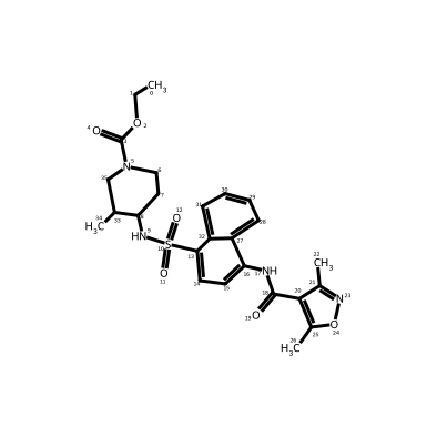 CCOC(=O)N1CCC(NS(=O)(=O)c2ccc(NC(=O)c3c(C)noc3C)c3ccccc23)C(C)C1